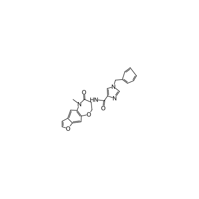 CN1C(=O)C(NC(=O)c2cn(Cc3ccccc3)cn2)COc2cc3occc3cc21